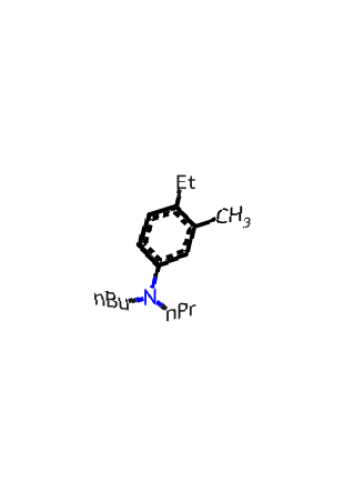 CCCCN(CCC)c1ccc(CC)c(C)c1